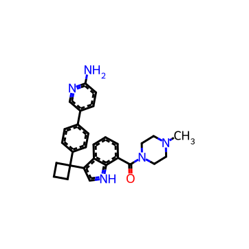 CN1CCN(C(=O)c2cccc3c(C4(c5ccc(-c6ccc(N)nc6)cc5)CCC4)c[nH]c23)CC1